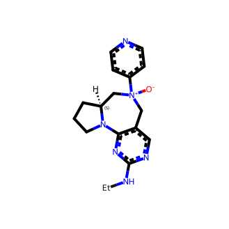 CCNc1ncc2c(n1)N1CCC[C@H]1C[N+]([O-])(c1ccncc1)C2